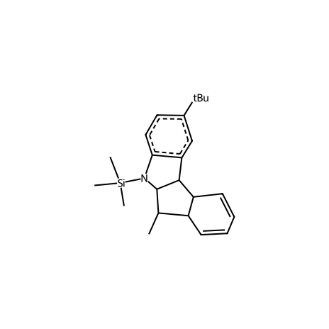 CC1C2C=CC=CC2C2c3cc(C(C)(C)C)ccc3N([Si](C)(C)C)C12